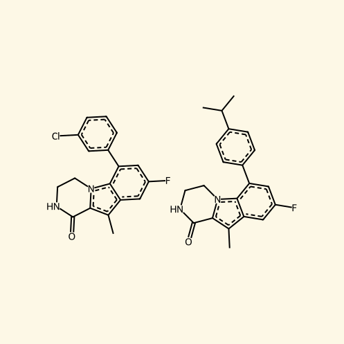 Cc1c2n(c3c(-c4ccc(C(C)C)cc4)cc(F)cc13)CCNC2=O.Cc1c2n(c3c(-c4cccc(Cl)c4)cc(F)cc13)CCNC2=O